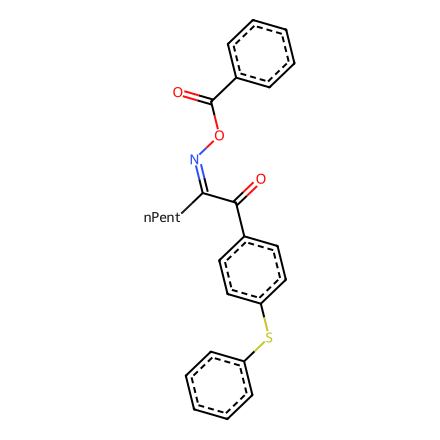 CCCCCC(=NOC(=O)c1ccccc1)C(=O)c1ccc(Sc2ccccc2)cc1